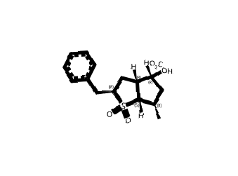 C[C@@H]1C[C@](O)(C(=O)O)[C@H]2C[C@H](Cc3ccccc3)S(=O)(=O)[C@@H]12